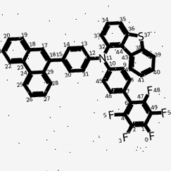 Fc1c(F)c(F)c(-c2ccc(N(c3ccc(-c4cc5ccccc5c5ccccc45)cc3)c3cccc4sc5ccccc5c34)cc2)c(F)c1F